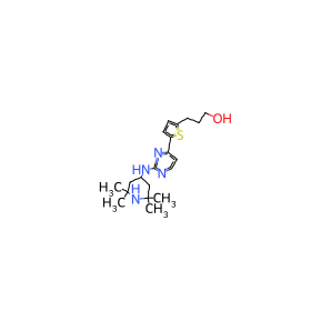 CC1(C)CC(Nc2nccc(-c3ccc(CCCO)s3)n2)CC(C)(C)N1